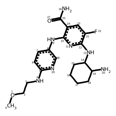 COCCNc1ccc(Nc2nc(NC3CCCCC3N)c(F)cc2C(N)=O)cn1